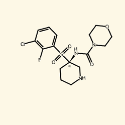 O=C(N[C@]1(S(=O)(=O)c2cccc(Cl)c2F)CCCNC1)N1CCOCC1